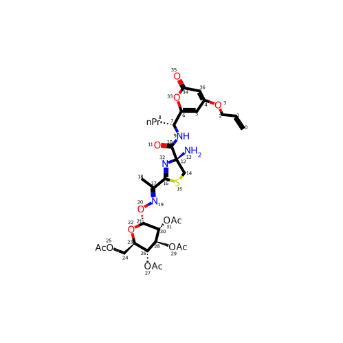 C=CCOc1cc([C@@H](CCC)NC(=O)[C@]2(N)CSC(/C(C)=N/O[C@H]3O[C@H](COC(C)=O)[C@@H](OC(C)=O)[C@H](OC(C)=O)[C@H]3OC(C)=O)=N2)oc(=O)c1